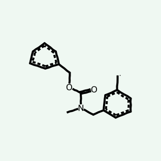 [CH2]c1cccc(CN(C)C(=O)OCc2ccccc2)c1